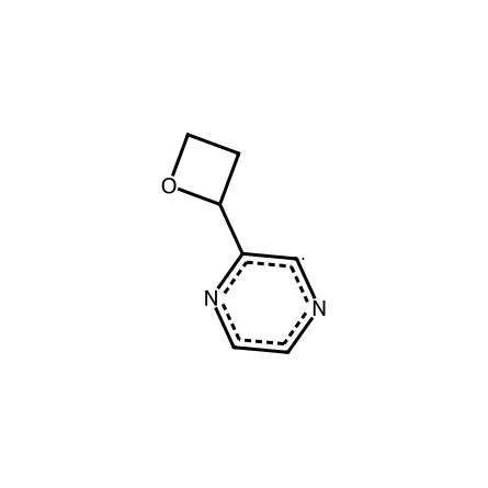 [c]1nccnc1C1CCO1